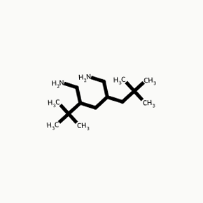 CC(C)(C)CC(CN)CC(CN)C(C)(C)C